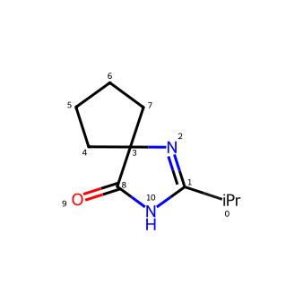 CC(C)C1=NC2(CCCC2)C(=O)N1